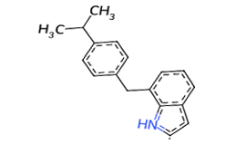 CC(C)c1ccc(Cc2cccc3c[c][nH]c23)cc1